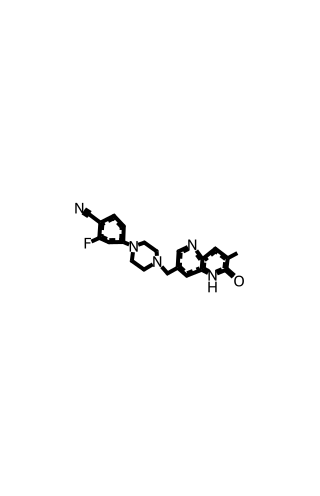 Cc1cc2ncc(CN3CCN(c4ccc(C#N)c(F)c4)CC3)cc2[nH]c1=O